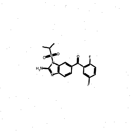 CC(C)S(=O)(=O)n1c(N)nc2ccc(C(=O)c3cc(F)ccc3F)cc21